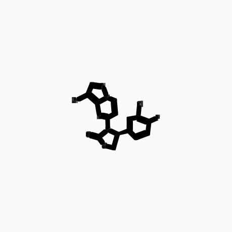 O=C1OC[C@H](c2ccc(F)c(Cl)c2)N1c1ccn2ncc(Br)c2n1